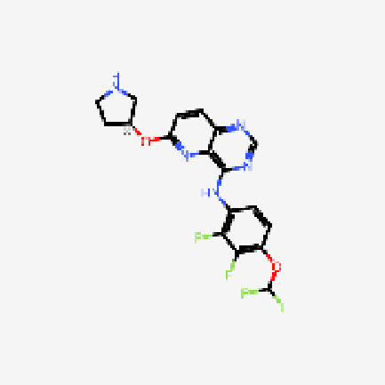 Fc1c(Nc2ncnc3ccc(O[C@H]4CCNC4)nc23)ccc(OC(F)F)c1F